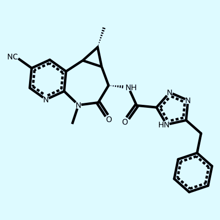 C[C@H]1C2c3cc(C#N)cnc3N(C)C(=O)[C@@H](NC(=O)c3nnc(Cc4ccccc4)[nH]3)C21